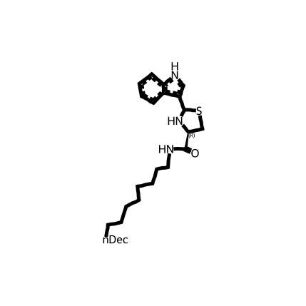 CCCCCCCCCCCCCCCCCCNC(=O)[C@@H]1CSC(c2c[nH]c3ccccc23)N1